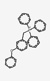 c1ccc(Oc2cccc(C[PH](c3ccccc3)(c3ccccc3)c3ccccc3)c2)cc1